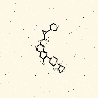 C[C@]1(N2CCC(c3cc4cc(NC(=O)C5CC5C5CCOCC5)ncc4cc3Cl)CC2)COC[C@H]1F